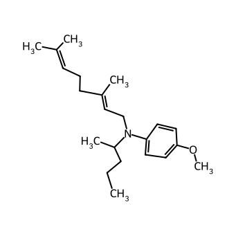 CCCC(C)N(C/C=C(\C)CCC=C(C)C)c1ccc(OC)cc1